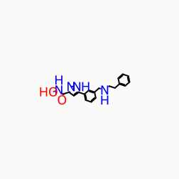 O=C(NO)c1cc(-c2cccc(CNCCc3ccccc3)c2)[nH]n1